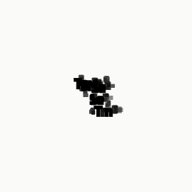 [Se-2].[Se-2].[Se-2].[Tm+3].[Tm+3]